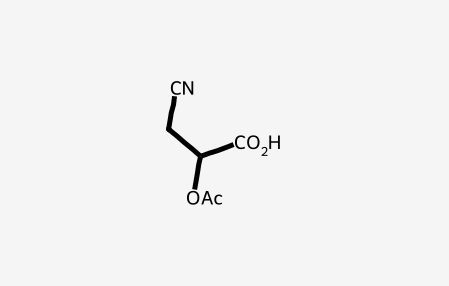 CC(=O)OC(CC#N)C(=O)O